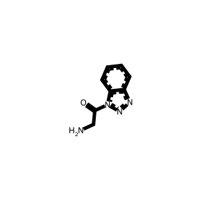 NCC(=O)n1nnc2ccccc21